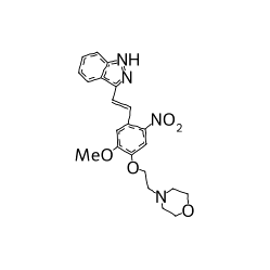 COc1cc(C=Cc2n[nH]c3ccccc23)c([N+](=O)[O-])cc1OCCN1CCOCC1